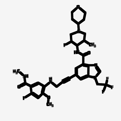 CNC(=O)c1cc(NCC#Cc2cc(C(=O)NC3C(C)CN(C4CCOCC4)CC3F)c3ncn(CC(F)(F)F)c3c2)c(OC)cc1F